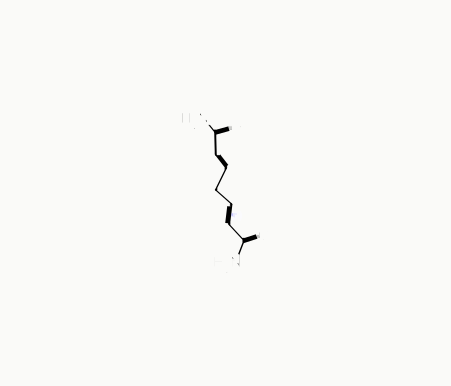 NC(=O)C=CC/C=C/C(N)=O